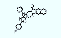 O=C1C(=Cc2nc3oc(-c4ccc(F)cc4)nc3n2-c2ccccc2)C(=O)c2cc3ccccc3cc21